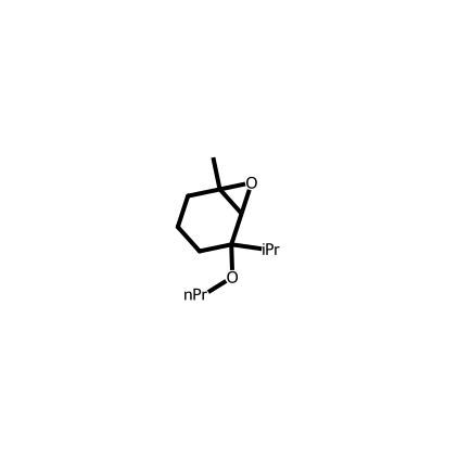 CCCOC1(C(C)C)CCCC2(C)OC21